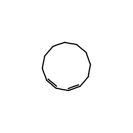 [CH]1C=CC=CCCCCCCC1